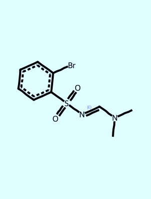 CN(C)/C=N/S(=O)(=O)c1ccccc1Br